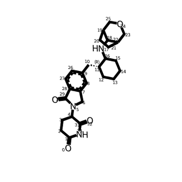 O=C1CCC(N2Cc3cc(C[C@H]4CCCCC4NC4C5CCC4COC5)ccc3C2=O)C(=O)N1